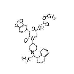 COC(=O)CNC(=O)CN(C(=O)Cc1ccc2c(c1)OCO2)C1CCN(C(C)c2cccc3ccccc23)CC1